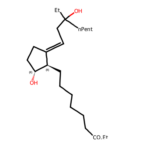 CCCCCC(O)(CC)CC=C1CC[C@@H](O)[C@@H]1CCCCCCC(=O)OCC